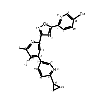 Cc1nc(-c2noc(-c3ccc(F)cn3)n2)cc(-c2ccc(C3CC3)nc2)c1F